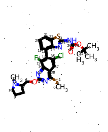 CSc1nc(OCC2CCCN2C)nc2c(F)c(-c3cccc4sc(NC(=O)OC(C)(C)C)nc34)c(Cl)cc12